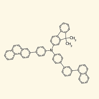 CC1(C)c2ccccc2-c2ccc(N(c3ccc(-c4cccc(-c5cccc6ccccc56)c4)cc3)c3ccc(-c4ccc5c(ccc6ccccc65)c4)cc3)cc21